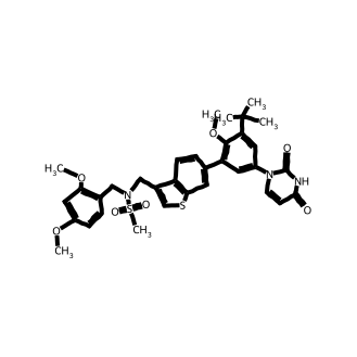 COc1ccc(CN(Cc2csc3cc(-c4cc(-n5ccc(=O)[nH]c5=O)cc(C(C)(C)C)c4OC)ccc23)S(C)(=O)=O)c(OC)c1